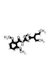 CCCC(CC)c1nnc(NC(=O)c2c(OC)cccc2OC)s1